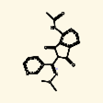 CC(=O)Nc1cccc2c1C(=O)C(/C(=N/N(C)C)c1cccnc1)C2=O